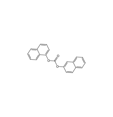 O=C(Oc1ccc2ccccc2c1)Oc1cccc2ccccc12